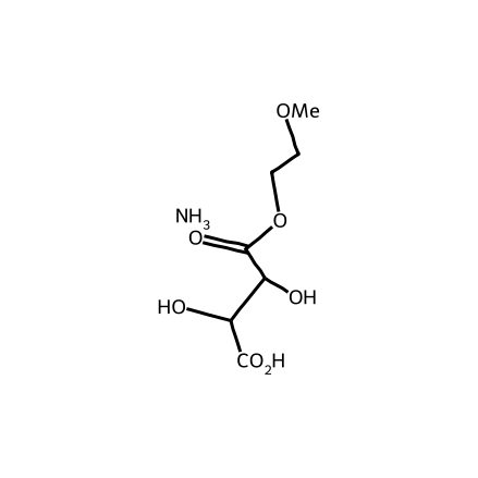 COCCOC(=O)C(O)C(O)C(=O)O.N